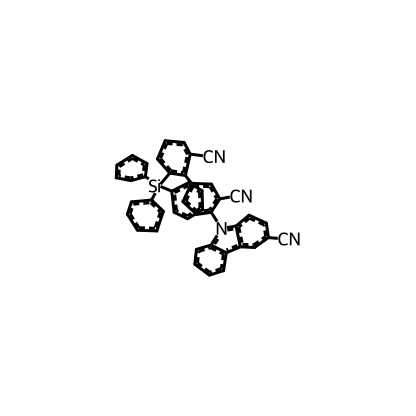 N#Cc1ccc2c(c1)c1ccccc1n2-c1ccc(-c2c(C#N)cccc2[Si](c2ccccc2)(c2ccccc2)c2ccccc2)cc1C#N